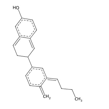 C=c1ccc(C2C=c3ccc(O)cc3=CC2)c/c1=C/CCC